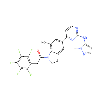 Cn1nccc1Nc1nccc(-c2cc(C#N)c3c(c2)CCN3C(=O)Cc2c(F)c(F)c(F)c(F)c2F)n1